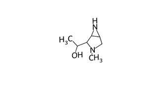 CC(O)C1C2NC2CN1C